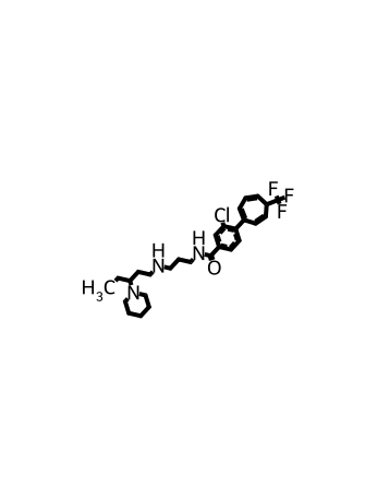 CCC(CCNCCCNC(=O)c1ccc(C2=CC=CC(C(F)(F)F)C=C2)c(Cl)c1)N1CCCCC1